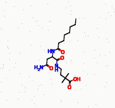 CCCCCCCC(=O)NC(CC(N)=O)C(=O)NCCC(C)(C)C(=O)O